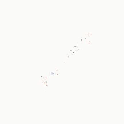 CCO[Si](CCCNC(=O)OCCCCOc1ccc2cc(CC=CC(=O)O)ccc2c1)(OCC)OCC